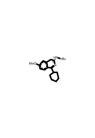 CCCCN[C@H]1Cc2cc(OC)ccc2C(C2CCCCC2)=N1